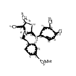 COc1ccc(CN2C(=O)C(C)SC2=Nc2ccc(Cl)c(Cl)c2)cc1